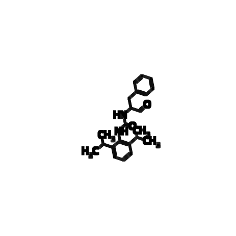 CC(C)c1cccc(C(C)C)c1NC(=O)NC(C=O)Cc1ccccc1